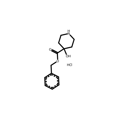 Cl.O=C(OCc1ccccc1)C1(O)CCNCC1